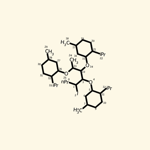 CCCC(I)C(OC1CC(C)CCC1C(C)C)C(OC1CC(C)CCC1C(C)C)C(C)OC1CC(C)CCC1C(C)C